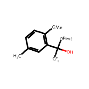 CCCCCC(O)(c1cc(C)ccc1OC)C(F)(F)F